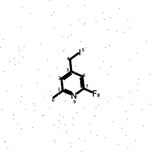 Cc1cc(CI)cc(F)n1